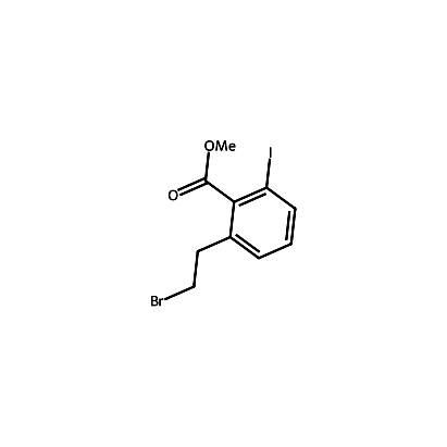 COC(=O)c1c(I)cccc1CCBr